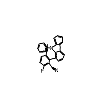 N#Cc1ccc(F)c(C#N)c1-c1cccc2c3ccccc3n(-c3ccccc3)c12